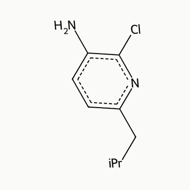 CC(C)Cc1ccc(N)c(Cl)n1